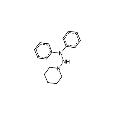 c1ccc(N(NN2CCCCC2)c2ccccc2)cc1